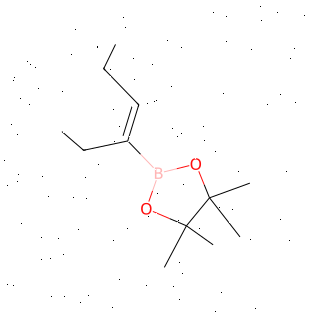 CC/C=C(\CC)B1OC(C)(C)C(C)(C)O1